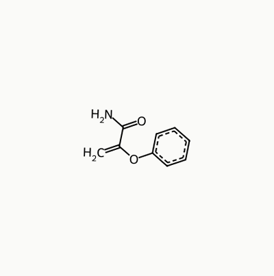 C=C(Oc1ccccc1)C(N)=O